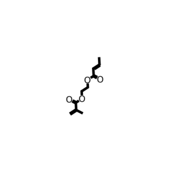 C=C(C)C(=O)OCCOC(=O)C=CC